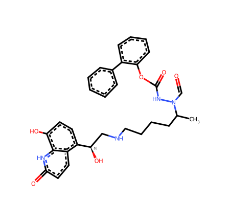 CC(CCCCNC[C@@H](O)c1ccc(O)c2[nH]c(=O)ccc12)N(C=O)NC(=O)Oc1ccccc1-c1ccccc1